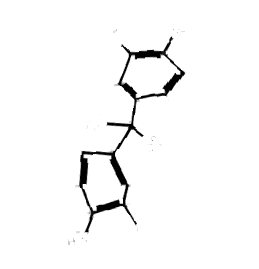 Nc1ccc(C(c2ccc(N)c(F)c2)(C(F)(F)F)C(F)(F)F)cc1F